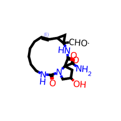 NC(=O)C12CC(O)CN1C(=O)NCCCCC/C=C/C1CC1([C]=O)NC2=O